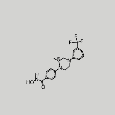 C[C@H]1CN(c2cccc(C(F)(F)F)c2)CCN1c1ccc(C(=O)NO)cc1